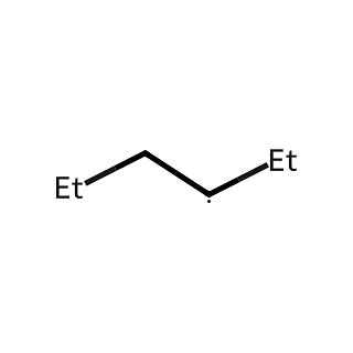 [CH2]C[CH]CC[CH2]